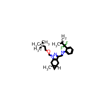 C=C(C)C(F)(F)c1ccccc1/N=C/c1nn(COCC[Si](C)(C)C)c2c1C[C@@H]1C[C@]1(C)C2